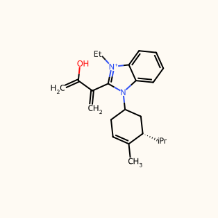 C=C(O)C(=C)c1n(C2CC=C(C)[C@@H](C(C)C)C2)c2ccccc2[n+]1CC